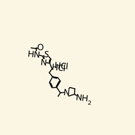 CC(=O)Nc1nc(CCc2ccc(C(C)N3CCC(N)C3)cc2)cs1.Cl.Cl